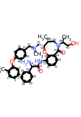 Cc1ccccc1Oc1ccc(CN(C)C[C@H]2Oc3c(NC(=O)C(N)c4ccccc4)cccc3C(=O)N([C@@H](C)CO)C[C@H]2C)cc1